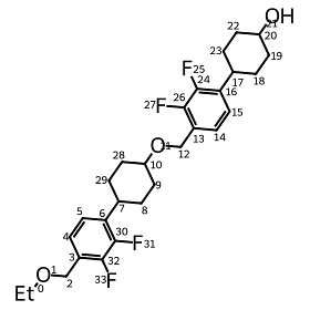 CCOCc1ccc(C2CCC(OCc3ccc(C4CCC(O)CC4)c(F)c3F)CC2)c(F)c1F